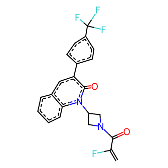 C=C(F)C(=O)N1CC(n2c(=O)c(-c3ccc(C(F)(F)F)cc3)cc3ccccc32)C1